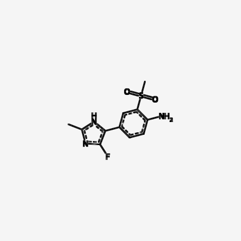 Cc1nc(F)c(-c2ccc(N)c(S(C)(=O)=O)c2)[nH]1